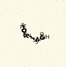 CC1C(SCCCN2CC3CCN(c4ccc(C(F)(F)F)cc4)C3C2)SCN1c1cc[nH]c(=O)c1